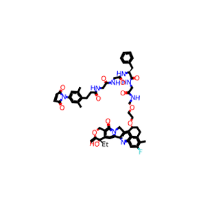 C=C1OCc2c(cc3n(c2=O)Cc2c-3nc3cc(F)c(C)c4c3c2[C@@H](OCCOCNC(=O)CNC(=O)[C@H](Cc2ccccc2)NC(=O)CNC(=O)CNC(=O)CCc2c(C)cc(N3C(=O)C=CC3=O)cc2C)CC4)[C@@]1(O)CC